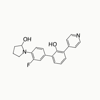 Oc1c(-c2ccncc2)cccc1-c1ccc(N2CCCC2O)c(F)c1